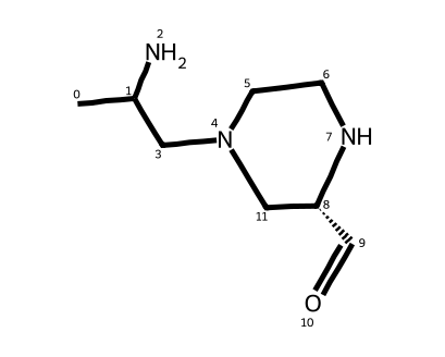 CC(N)CN1CCN[C@H](C=O)C1